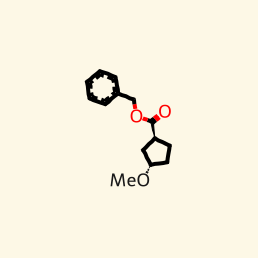 CO[C@H]1CC[C@H](C(=O)OCc2ccccc2)C1